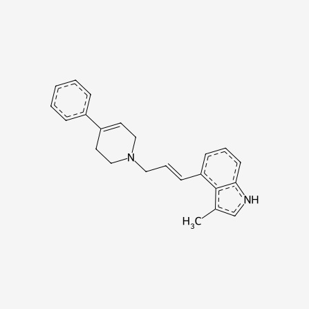 Cc1c[nH]c2cccc(C=CCN3CC=C(c4ccccc4)CC3)c12